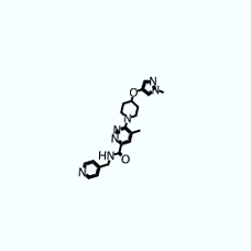 Cc1cc(C(=O)NCc2ccncc2)nnc1N1CCC(Oc2cnn(C)c2)CC1